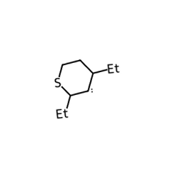 CCC1[C]C(CC)SCC1